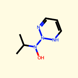 CC(C)N(O)N1N=CC=CN1